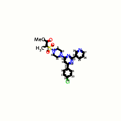 COC(=O)C(C)S(=O)(=O)N1CCN(c2cc(-c3ccc(Cl)cc3)nc(-c3cccnc3)n2)CC1